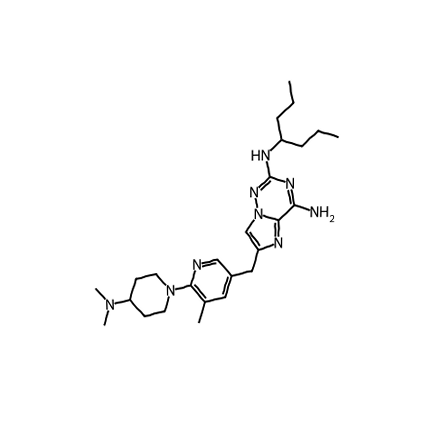 CCCC(CCC)Nc1nc(N)c2nc(Cc3cnc(N4CCC(N(C)C)CC4)c(C)c3)cn2n1